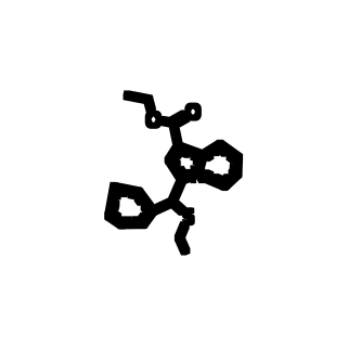 CCOC(=O)c1cc(C(SCC)c2ccccc2)n2ccccc12